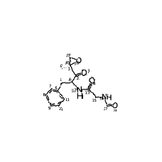 C[C@]1(C(=O)C(Cc2ccccc2)NC(=O)CNC=O)CO1